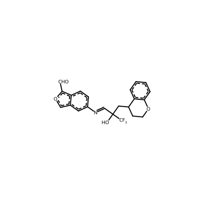 O=Cc1occ2cc(N=CC(O)(CC3CCOc4ccccc43)C(F)(F)F)ccc12